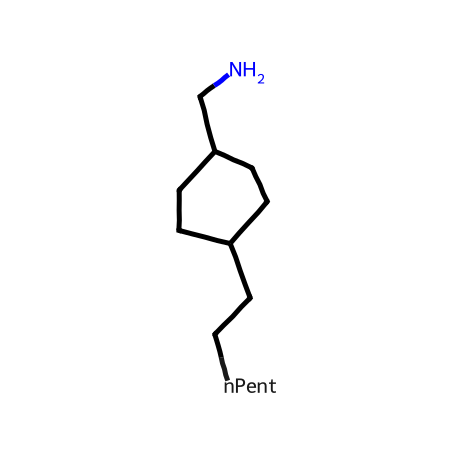 CCCCCCCC1CCC(CN)CC1